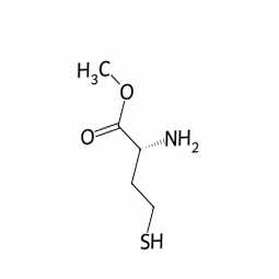 COC(=O)[C@H](N)CCS